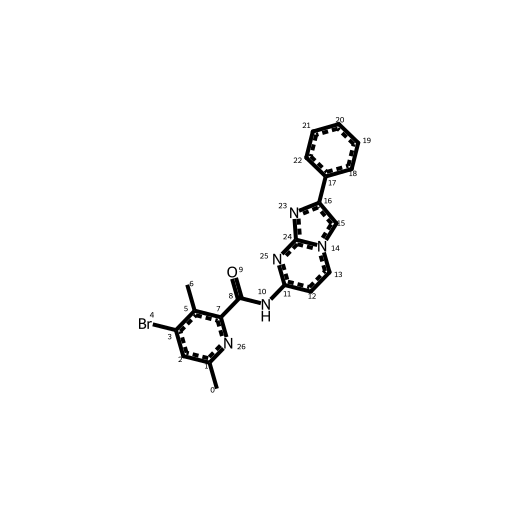 Cc1cc(Br)c(C)c(C(=O)Nc2ccn3cc(-c4ccccc4)nc3n2)n1